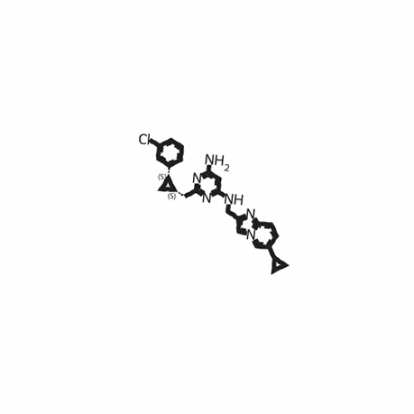 Nc1cc(NCc2cn3cc(C4CC4)ccc3n2)nc(C[C@@H]2C[C@@H]2c2cccc(Cl)c2)n1